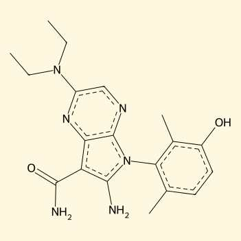 CCN(CC)c1cnc2c(n1)c(C(N)=O)c(N)n2-c1c(C)ccc(O)c1C